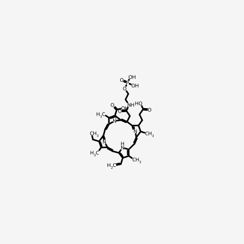 C=Cc1c(C)c2cc3nc(c(CC(=O)NCCOP(=O)(O)O)c4[nH]c(cc5nc(cc1[nH]2)C(C)=C5CC)c(C)c4C(=O)O)C(CCC(=O)O)C3C